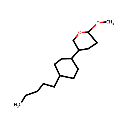 CCCCCC1CCC(C2CCC(OC)OC2)CC1